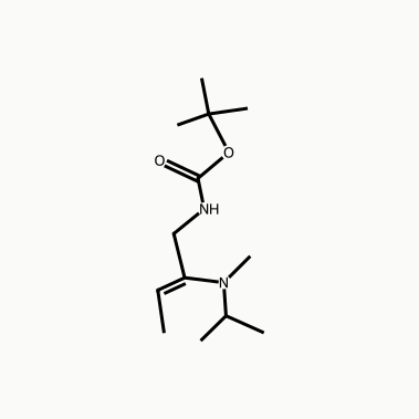 C/C=C(/CNC(=O)OC(C)(C)C)N(C)C(C)C